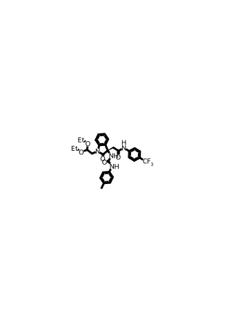 CCOC(CN1C(=O)[C@@](CC(=O)Nc2ccc(C(F)(F)F)cc2)(NC(=O)Nc2ccc(C)cc2)c2ccccc21)OCC